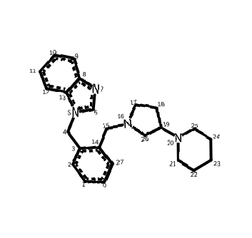 c1ccc(Cn2cnc3ccccc32)c(CN2CCC(N3CCCCC3)C2)c1